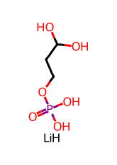 O=P(O)(O)OCCC(O)O.[LiH]